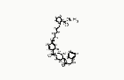 COC(=O)[C@@H]1CCCN1CCCCCOc1ccc(C(=O)N2CCC(N3C(=O)CCc4ccccc43)CC2)cc1